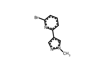 Cn1cc(-c2cccc(Br)n2)cn1